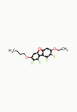 CCCCOc1cc2oc3cc(OCC)c(F)c(F)c3c2c(F)c1F